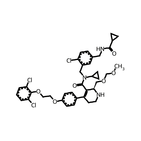 COCOC[C@H]1NCCC(c2ccc(OCCOc3c(Cl)cccc3Cl)cc2)=C1C(=O)N(Cc1cc(CNC(=O)C2CC2)ccc1Cl)C1CC1